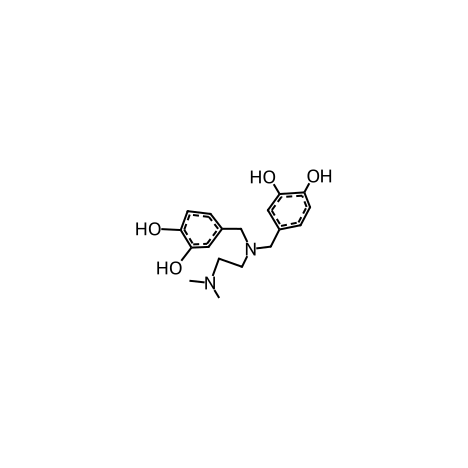 CN(C)CCN(Cc1ccc(O)c(O)c1)Cc1ccc(O)c(O)c1